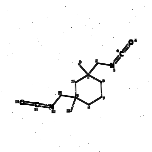 CC1(CN=C=O)CCCC(C)(CN=C=O)C1